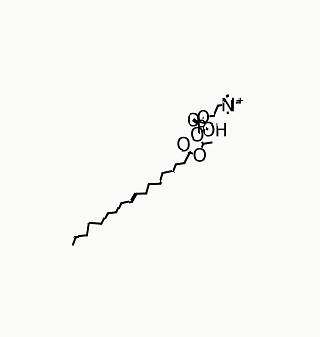 CCCCCCCCC=CCCCCCCCC(=O)OC(C)OP(=O)(O)OCC[N+](C)(C)C